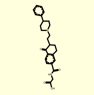 O=C(O)CNC(=O)c1ccc2c(c1)CCC(CCN1CCC(c3ccccc3)CC1)C2=O